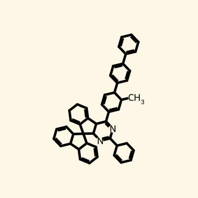 CC1C=C(C2=NC(C3C=CC=CC3)=NC3C2C2=CCCC=C2C32C3C=CC=CC3C3C=CC=CC32)C=CC1c1ccc(-c2ccccc2)cc1